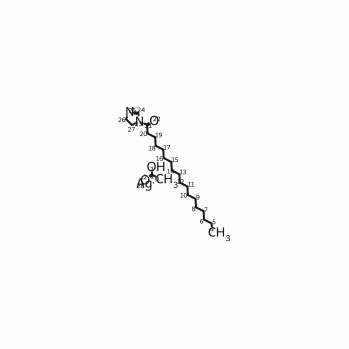 CC(=O)O.CCCCCCCCCCCCCCCCCC(=O)N1C=NCC1.[Ag]